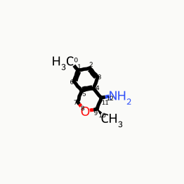 Cc1ccc2c(c1)CO[C@H](C)C2N